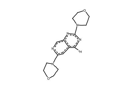 [2H]c1nc(N2CCOCC2)nc2cnc(N3CCOCC3)cc12